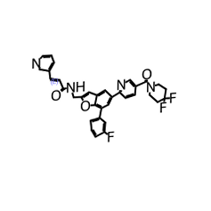 O=C(/C=C/c1cccnc1)NCc1cc2cc(-c3ccc(C(=O)N4CCC(F)(F)CC4)cn3)cc(-c3cccc(F)c3)c2o1